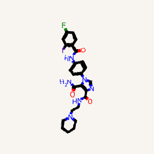 NC(=O)c1c(C(=O)NCCN2CCCCC2)ncn1-c1ccc(NC(=O)c2ccc(F)cc2I)cc1